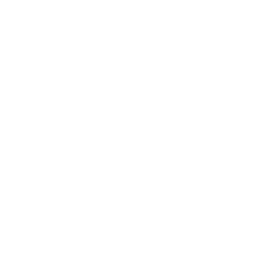 ICc1ccc2ccc3cccc4ccc1c2c34